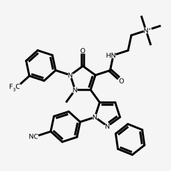 Cn1c(-c2ccnn2-c2ccc(C#N)cc2)c(C(=O)NCC[N+](C)(C)C)c(=O)n1-c1cccc(C(F)(F)F)c1.c1ccccc1